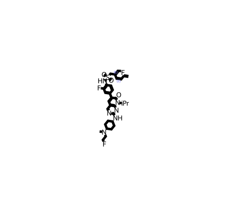 C=C(F)/C=C\C(=C/C)CS(=O)(=O)Nc1ccc(-c2cc3cnc(N[C@H]4CC[C@H](N(C)CCF)CC4)nc3n(C(C)C)c2=O)cc1F